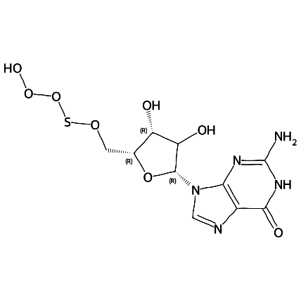 Nc1nc2c(ncn2[C@@H]2O[C@H](COSOOO)[C@H](O)C2O)c(=O)[nH]1